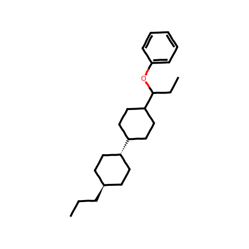 CCC[C@H]1CC[C@H](C2CCC(C(CC)Oc3ccccc3)CC2)CC1